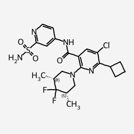 C[C@@H]1CN(c2nc(C3CCC3)c(Cl)cc2C(=O)Nc2ccnc(S(N)(=O)=O)c2)C[C@H](C)C1(F)F